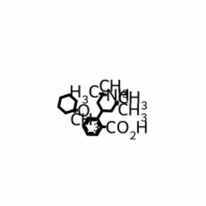 CC1(C)CC(c2c(OC3(C)CCCCC3)cccc2C(=O)O)CC(C)(C)N1